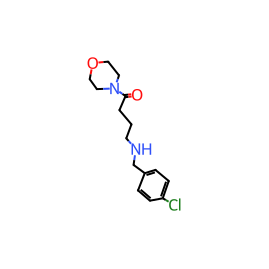 O=C(CCCNCc1ccc(Cl)cc1)N1CCOCC1